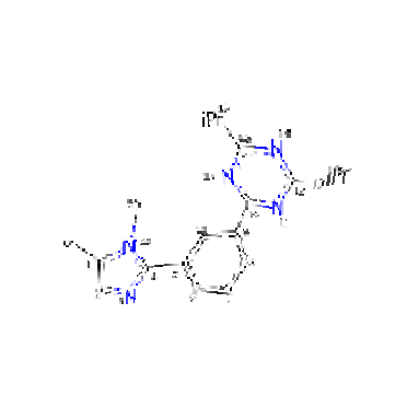 Cc1cnc(-c2cccc(-c3nc(C(C)C)nc(C(C)C)n3)c2)n1C